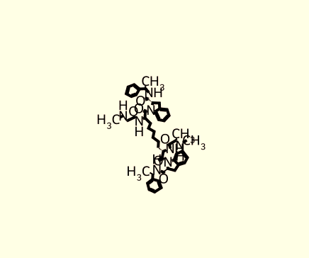 CNCC(=O)NC(CCCCCC[C@H](NC(=O)[C@H](C)NC)C(=O)N1c2ccccc2C[C@H]1C(=O)N[C@H](C)c1ccccc1)C(=O)N1c2ccccc2C[C@H]1C(=O)N[C@H](C)c1ccccc1